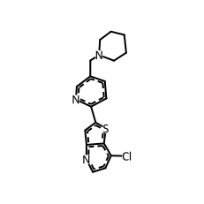 Clc1ccnc2cc(-c3ccc(CN4CCCCC4)cn3)sc12